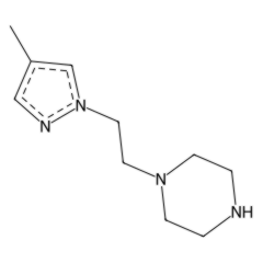 Cc1cnn(CCN2CCNCC2)c1